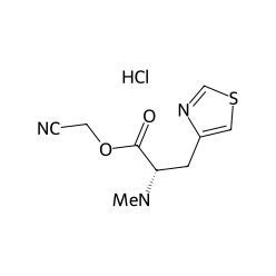 CN[C@@H](Cc1cscn1)C(=O)OCC#N.Cl